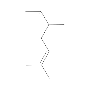 C=CC(C)CC=C(C)C